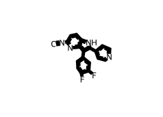 [C-]#[N+]c1ccc2[nH]c(-c3ccncc3)c(-c3ccc(F)c(F)c3)c2n1